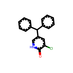 O=c1[nH]cc(C(c2ccccc2)c2ccccc2)cc1Cl